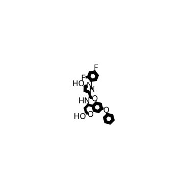 O=C(O)CC(NC(=O)c1cc(O)n(-c2ccc(F)cc2F)n1)c1ccc(Oc2ccccc2)cc1